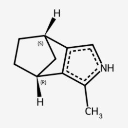 Cc1[nH]cc2c1[C@@H]1CC[C@H]2C1